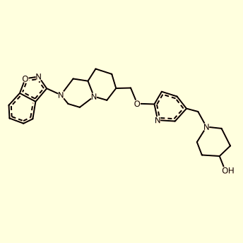 OC1CCN(Cc2ccc(OCC3CCC4CN(c5noc6ccccc56)CCN4C3)nc2)CC1